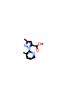 COC(=O)c1cc(C)nn1-c1ncccc1C